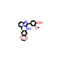 COc1cc(-c2nc3cccc(C)n3c2Nc2ccc3c(c2)OCCO3)ccc1O